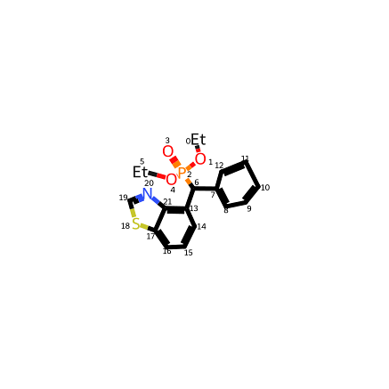 CCOP(=O)(OCC)C(c1ccccc1)c1cccc2scnc12